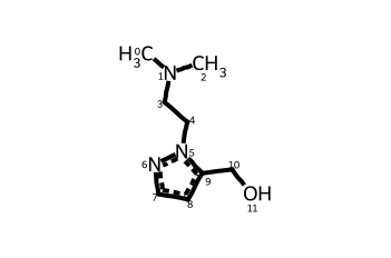 CN(C)CCn1nccc1CO